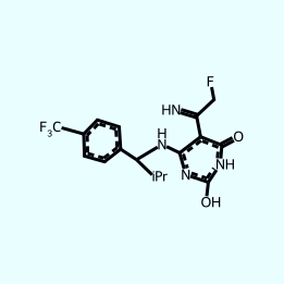 CC(C)C(Nc1nc(O)[nH]c(=O)c1C(=N)CF)c1ccc(C(F)(F)F)cc1